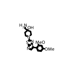 COc1ccc(-c2cnc3sc(N4CCC(O)(CN)CC4)nn23)c(OC)c1